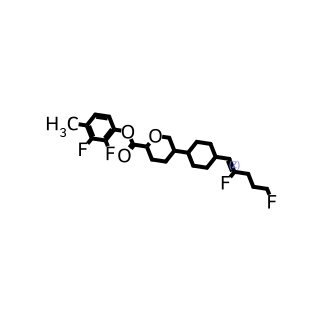 Cc1ccc(OC(=O)C2CCC(C3CCC(/C=C(\F)CCCF)CC3)CO2)c(F)c1F